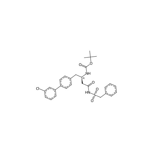 CC(C)(C)OC(=O)N[C@@H](CC(=O)NS(=O)(=O)Cc1ccccc1)Cc1ccc(-c2cccc(Cl)c2)cc1